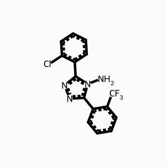 Nn1c(-c2ccccc2Cl)nnc1-c1ccccc1C(F)(F)F